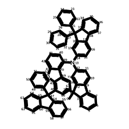 CC1(C)c2ccccc2-c2ccc(N(c3ccc4c(c3)C(c3ccccc3)(c3ccccc3)c3ccccc3-4)c3cccc4oc5c(C6(c7ccccc7)c7ccccc7-c7ccccc76)cccc5c34)cc21